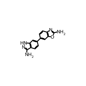 Nc1nc2ccc(-c3ccc4c(N)n[nH]c4c3)cc2o1